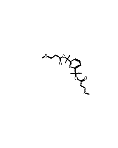 CSCCC(=O)OC(C)(C)c1cccc(C(C)(C)OC(=O)CCSC)n1